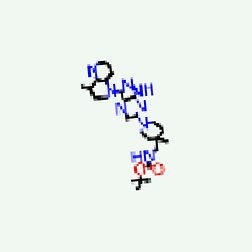 CC1CCN(c2n[nH]c3nc(N4CCC(C)(CNC(=O)OC(C)(C)C)CC4)cnc23)c2cccnc21